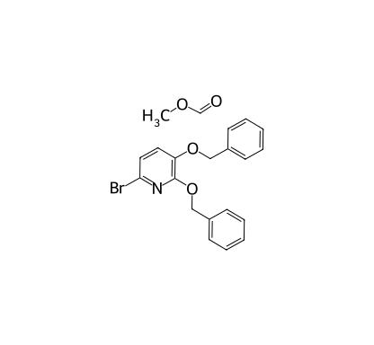 Brc1ccc(OCc2ccccc2)c(OCc2ccccc2)n1.COC=O